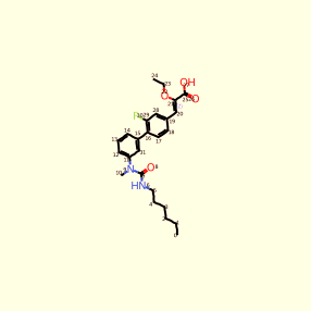 CCCCCCNC(=O)N(C)c1cccc(-c2ccc(/C=C(\OCC)C(=O)O)cc2F)c1